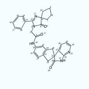 O=C(CN1C(=O)C2(CCCC2)N=C1c1ccccc1)Nc1ccc2c(c1)CC1(C2)C(=O)Nc2ncccc21